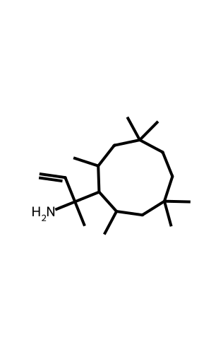 C=CC(C)(N)C1C(C)CC(C)(C)CCC(C)(C)CC1C